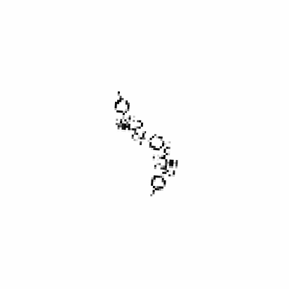 Cc1ccc(S(=O)(=O)NC(=O)OC(C)(C)[C@H]2C=C[C@](C)(OC(=O)NS(=O)(=O)c3ccc(C)cc3)CC2)cc1